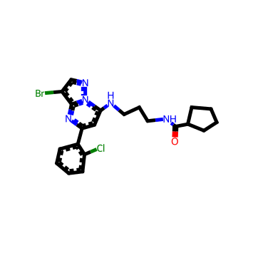 O=C(NCCCNc1cc(-c2ccccc2Cl)nc2c(Br)cnn12)C1CCCC1